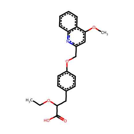 CCOC(Cc1ccc(OCc2cc(OC)c3ccccc3n2)cc1)C(=O)O